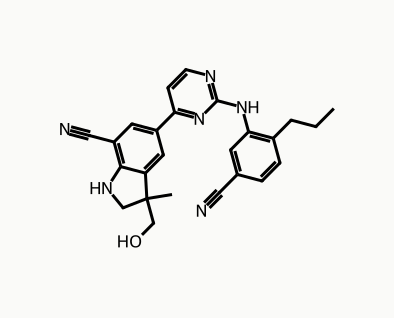 CCCc1ccc(C#N)cc1Nc1nccc(-c2cc(C#N)c3c(c2)C(C)(CO)CN3)n1